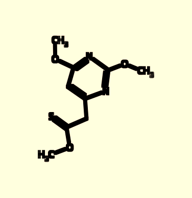 COC(=S)Cc1cc(OC)nc(OC)n1